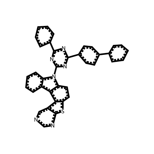 c1ccc(-c2ccc(-c3nc(-c4ccccc4)nc(-n4c5ccccc5c5c6c(ccc54)sc4ncncc46)n3)cc2)cc1